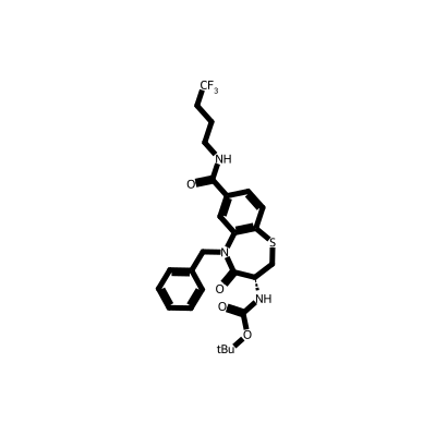 CC(C)(C)OC(=O)N[C@H]1CSc2ccc(C(=O)NCCCC(F)(F)F)cc2N(Cc2ccccc2)C1=O